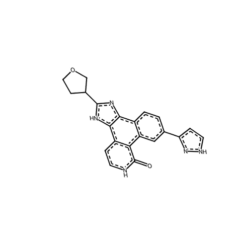 O=c1[nH]ccc2c3[nH]c(C4CCOC4)nc3c3ccc(-c4cc[nH]n4)cc3c12